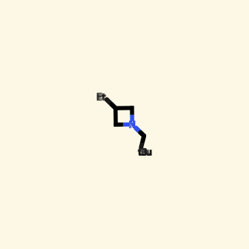 CCC1CN(CC(C)(C)C)C1